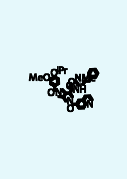 CNC(=O)[C@H](CCCc1ccccc1)NC(=O)C1CN(C(=O)c2ccc3ncccc3c2)CC2CN(C(=O)c3ccc(OC(C)C)c(OC)c3)CC21